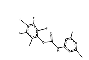 Cc1cc(NC(=O)Oc2c(F)c(F)c(F)c(F)c2F)cc(C)n1